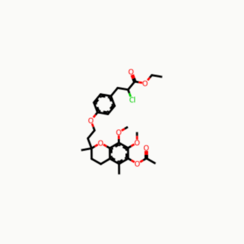 CCOC(=O)C(Cl)Cc1ccc(OCCC2(C)CCc3c(C)c(OC(C)=O)c(OC)c(OC)c3O2)cc1